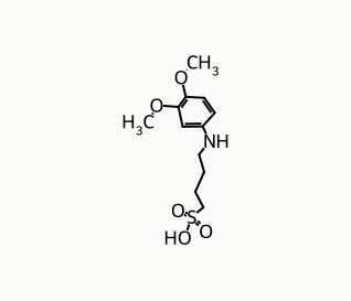 COc1ccc(NCCCCS(=O)(=O)O)cc1OC